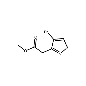 COC(=O)Cc1nscc1Br